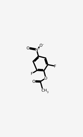 CC(=O)Oc1c(F)cc([N+](=O)[O-])cc1F